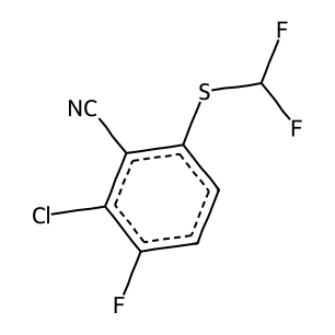 N#Cc1c(SC(F)F)ccc(F)c1Cl